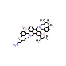 C=C(C)CCN(Cc1cc(C)ccc1BC#N)Cc1c2ccccc2c(CN(CCCCCCN)Cc2cc(C)ccc2BC)c2cc(C(=C)C)ccc12